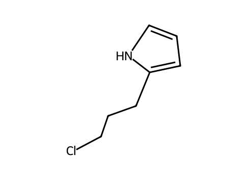 ClCCCc1ccc[nH]1